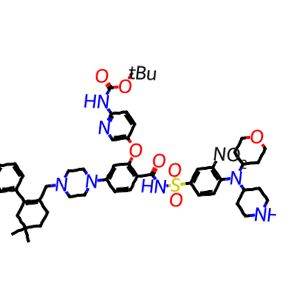 CC1(C)CCC(CN2CCN(c3ccc(C(=O)NS(=O)(=O)c4ccc(N(C5CCNCC5)C5CCOCC5)c([N+](=O)[O-])c4)c(Oc4ccc(NC(=O)OC(C)(C)C)nc4)c3)CC2)=C(c2ccc(Cl)cc2)C1